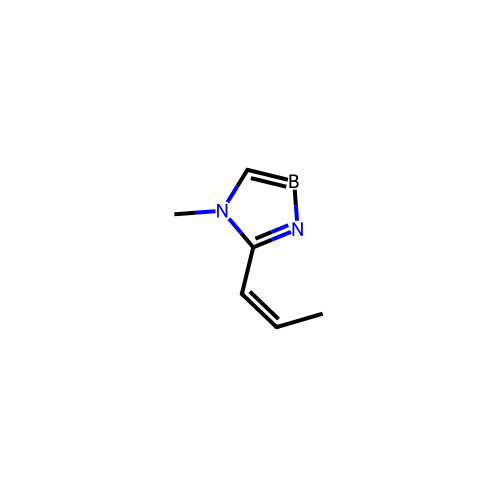 C/C=C\c1nbcn1C